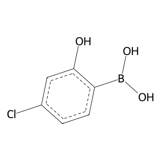 OB(O)c1ccc(Cl)cc1O